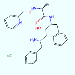 CC(C)[C@H](NOCc1ccccn1)C(=O)N[C@@H](Cc1ccccc1)[C@@H](O)C[C@@H](N)Cc1ccccc1.Cl